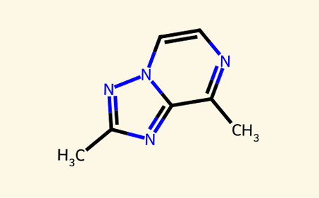 Cc1nc2c(C)nccn2n1